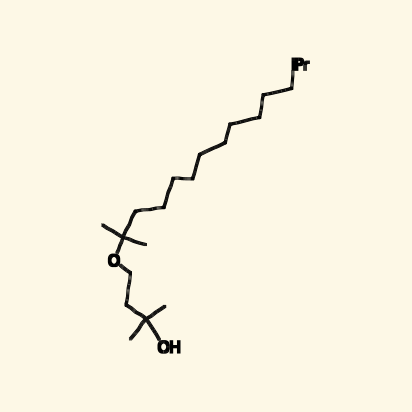 CC(C)CCCCCCCCCCC(C)(C)OCCC(C)(C)O